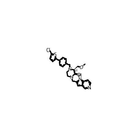 COC[C@H]1C(=O)N(Cc2cc3cnccc3[nH]2)CCN1Cc1ccc(-c2ccc(Cl)s2)cc1